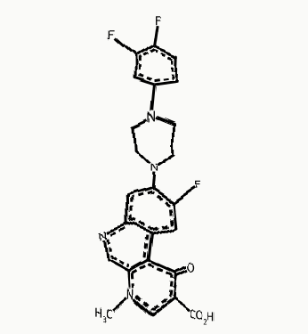 Cn1cc(C(=O)O)c(=O)c2c3cc(F)c(N4CCN(c5ccc(F)c(F)c5)CC4)cc3ncc21